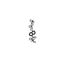 CCC(C)(C)C(=O)Nc1cccc2c(OCC(=O)OCC(C)(F)F)cccc12